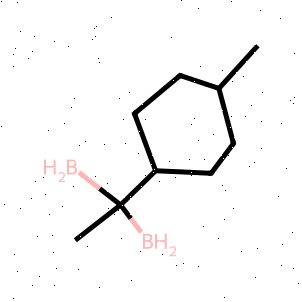 BC(B)(C)C1CCC(C)CC1